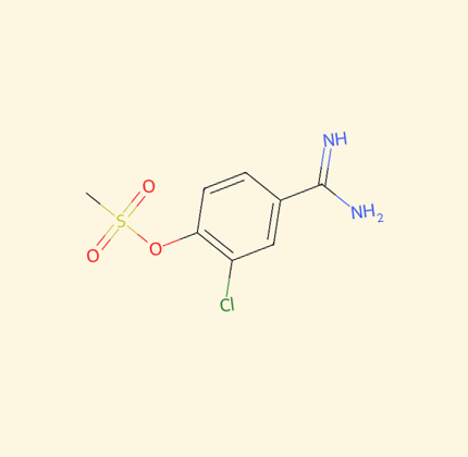 CS(=O)(=O)Oc1ccc(C(=N)N)cc1Cl